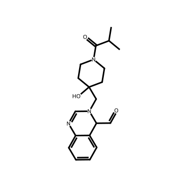 CC(C)C(=O)N1CCC(O)(CN2C=Nc3ccccc3C2C=O)CC1